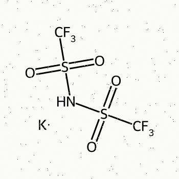 O=S(=O)(NS(=O)(=O)C(F)(F)F)C(F)(F)F.[K]